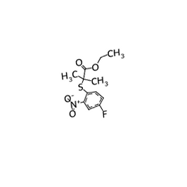 CCOC(=O)C(C)(C)Sc1ccc(F)cc1[N+](=O)[O-]